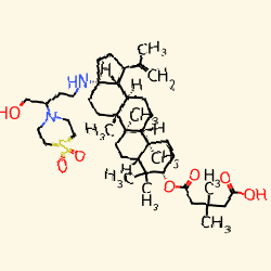 C=C(C)[C@@H]1CC[C@]2(NCCC(CO)N3CCS(=O)(=O)CC3)CC[C@]3(C)[C@H](CC[C@@H]4[C@@]5(C)CC[C@H](OC(=O)CC(C)(C)CC(=O)O)C(C)(C)[C@@H]5CC[C@]43C)[C@@H]12